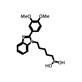 COc1ccc(-c2nc3ccccc3n2CCCCCB(O)O)cc1OC